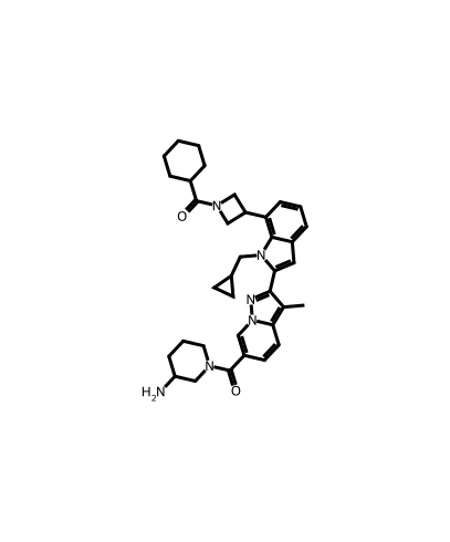 Cc1c(-c2cc3cccc(C4CN(C(=O)C5CCCCC5)C4)c3n2CC2CC2)nn2cc(C(=O)N3CCCC(N)C3)ccc12